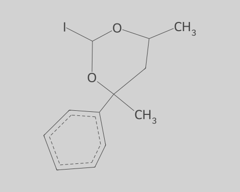 CC1CC(C)(c2ccccc2)OC(I)O1